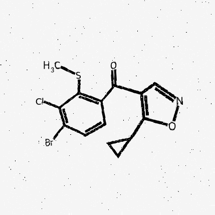 CSc1c(C(=O)c2cnoc2C2CC2)ccc(Br)c1Cl